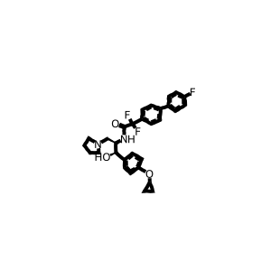 O=C(N[C@H](CN1CCCC1)[C@H](O)c1ccc(OC2CC2)cc1)C(F)(F)c1ccc(-c2ccc(F)cc2)cc1